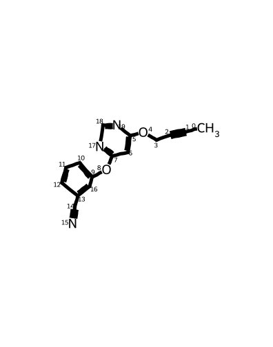 CC#CCOc1cc(Oc2cccc(C#N)c2)ncn1